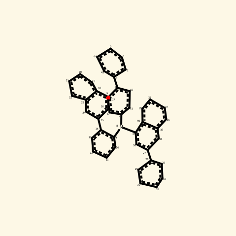 c1ccc(-c2ccc(N(c3ccccc3-c3ccc4ccccc4c3)c3cc(-c4ccccc4)cc4ccccc34)cc2)cc1